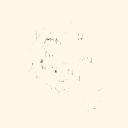 N#Cc1c(C#N)c(-n2c3ccccc3c3c4c(ccc32)sc2ccccc24)c(-n2c3ccccc3c3ccccc32)c(-n2c3ccccc3c3ccccc32)c1-n1c2ccccc2c2ccccc21